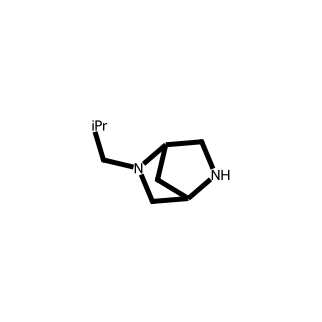 CC(C)CN1CC2CC1CN2